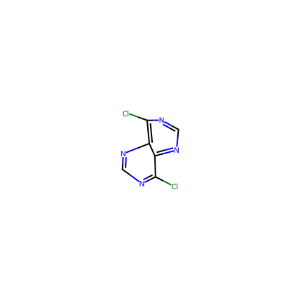 Clc1ncnc2c(Cl)ncnc12